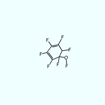 FOC1(F)C(F)=C(F)C(F)=C(F)C1F